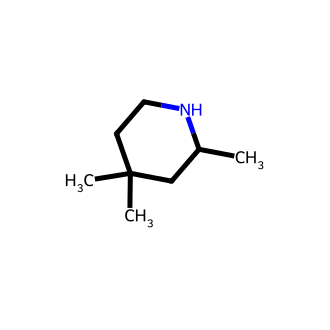 CC1CC(C)(C)CCN1